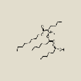 CCCCCC(=O)O.CCCCCC(=O)O[SiH3].CCCCCCCCOC(=O)CCCCC